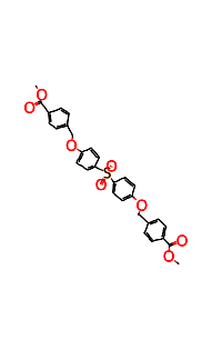 COC(=O)c1ccc(COc2ccc(S(=O)(=O)c3ccc(OCc4ccc(C(=O)OC)cc4)cc3)cc2)cc1